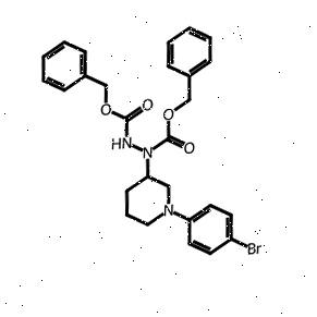 O=C(NN(C(=O)OCc1ccccc1)C1CCCN(c2ccc(Br)cc2)C1)OCc1ccccc1